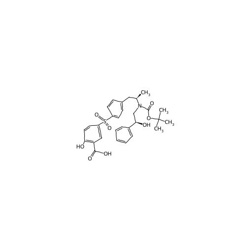 C[C@H](Cc1ccc(S(=O)(=O)c2ccc(O)c(C(=O)O)c2)cc1)N(C[C@@H](O)c1ccccc1)C(=O)OC(C)(C)C